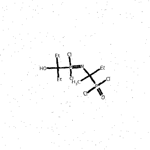 CCC(C)(N=P(Cl)(Cl)C(O)(CC)CC)P(=O)(Cl)Cl